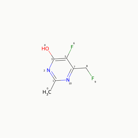 Cc1nc(O)c(F)c(CF)n1